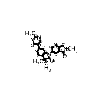 Cc1ncc(-c2ccc3c(c2)N(c2cnc4c(c2)C(=O)N(C)C4)C(=O)C3(C)C)cn1